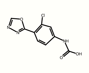 O=C(O)Nc1ccc(-c2nnco2)c(Cl)c1